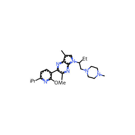 CCC(CN1CCN(C)CC1)n1cc(C)c2nc(-c3ccc(C(C)C)nc3OC)c(C)nc21